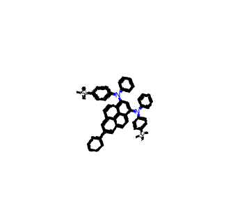 C[Si](C)(C)c1ccc(N(c2ccccc2)c2cc(N(c3ccccc3)c3ccc([Si](C)(C)C)cc3)c3ccc4cc(C5CCCCC5)cc5ccc2c3c54)cc1